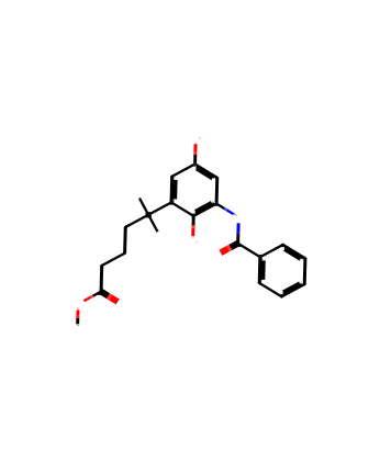 COC(=O)CCCC(C)(C)c1cc(O)cc(NC(=O)c2ccccc2)c1O